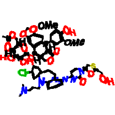 CN(C)CCCN1c2ccccc2CCc2ccc(Cl)cc21.COc1cc([C@@H]2c3cc4c(cc3[C@@H](O[C@@H]3O[C@@H]5CO[C@@H](C)O[C@H]5[C@H](O)[C@H]3O)[C@H]3COC(=O)[C@H]23)OCO4)cc(OC)c1O.Nc1ccn([C@H]2CS[C@@H](CO)O2)c(=O)n1